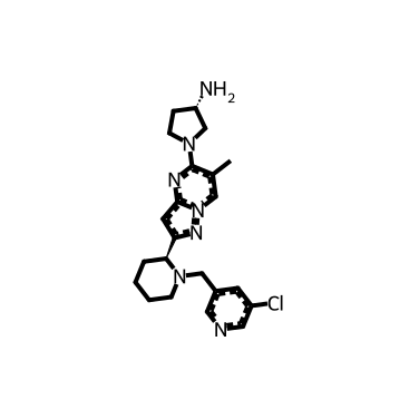 Cc1cn2nc([C@@H]3CCCCN3Cc3cncc(Cl)c3)cc2nc1N1CC[C@H](N)C1